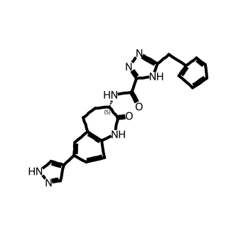 O=C(N[C@H]1CCc2cc(-c3cn[nH]c3)ccc2NC1=O)c1nnc(Cc2ccccc2)[nH]1